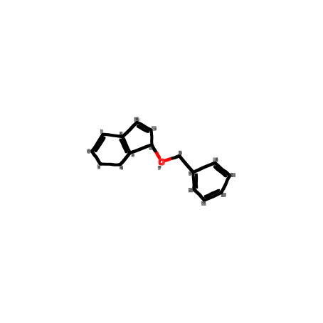 C1=CC2=C(CC1)C(OCc1ccccc1)C=C2